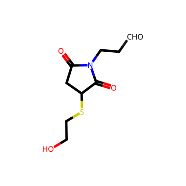 O=CCCN1C(=O)CC(SCCO)C1=O